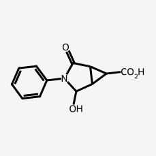 O=C(O)C1C2C(=O)N(c3ccccc3)C(O)C12